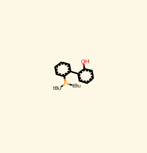 CC(C)(C)P(c1ccccc1-c1ccccc1O)C(C)(C)C